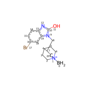 B[N+]12CCC(CC1)C(Cn1c(O)nc3ccc(Br)cc31)C2